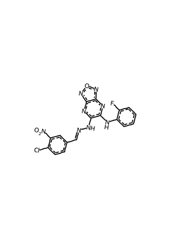 O=[N+]([O-])c1cc(C=NNc2nc3nonc3nc2Nc2ccccc2F)ccc1Cl